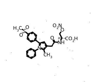 Cc1c(CC(=O)N[C@H](CO[N+](=O)[O-])C(=O)O)cc(-c2ccc(S(C)(=O)=O)cc2)n1-c1ccccc1